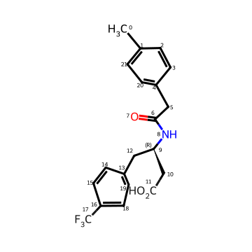 Cc1ccc(CC(=O)N[C@@H](CC(=O)O)Cc2ccc(C(F)(F)F)cc2)cc1